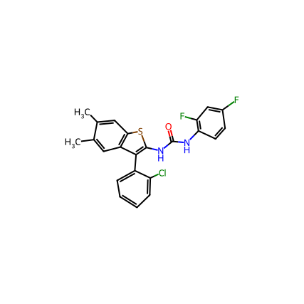 Cc1cc2sc(NC(=O)Nc3ccc(F)cc3F)c(-c3ccccc3Cl)c2cc1C